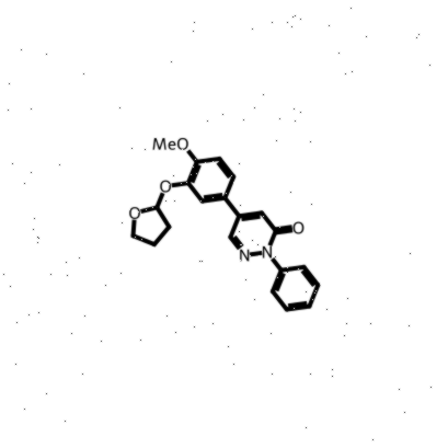 COc1ccc(-c2cnn(-c3ccccc3)c(=O)c2)cc1OC1CCCO1